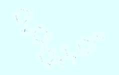 O=C(Nc1ccc([N+](=O)[O-])cc1)Nc1cc(-c2ccnc(Nc3ccccc3)c2)ccn1